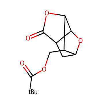 CC(C)(C)C(=O)OCC1C2CC3C(=O)OC1C3O2